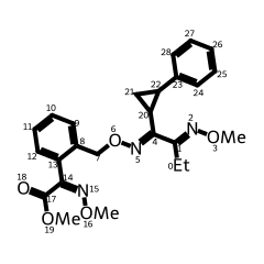 CCC(=N\OC)/C(=N/OCc1ccccc1/C(=N/OC)C(=O)OC)C1CC1c1ccccc1